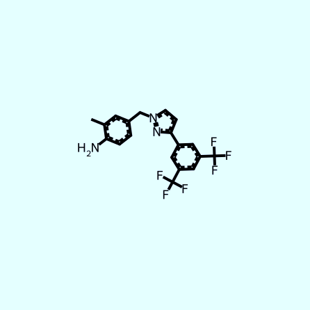 Cc1cc(Cn2ccc(-c3cc(C(F)(F)F)cc(C(F)(F)F)c3)n2)ccc1N